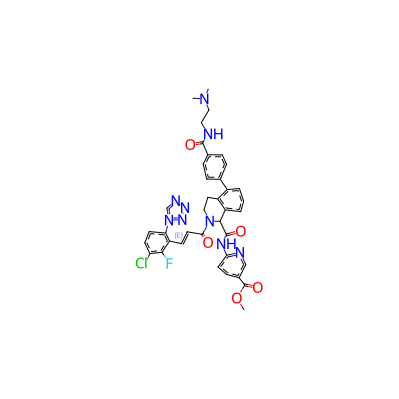 COC(=O)c1ccc(NC(=O)C2c3cccc(-c4ccc(C(=O)NCCN(C)C)cc4)c3CCN2C(=O)/C=C/c2c(-n3cnnn3)ccc(Cl)c2F)nc1